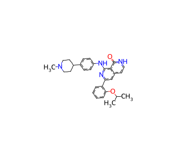 CC(C)Oc1ccccc1-c1cc2cc[nH]c(=O)c2c(Nc2ccc(C3CCN(C)CC3)cc2)n1